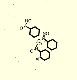 O=NN([O-])C1CCCCC1.O=NN([O-])C1CCCCC1.O=NN([O-])C1CCCCC1.[Al+3]